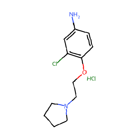 Cl.Nc1ccc(OCCN2CCCC2)c(Cl)c1